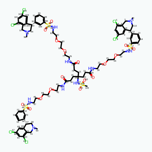 CN1Cc2c(Cl)cc(Cl)cc2[C@H](c2cccc(S(=O)(=O)NCCOCCOCCNC(=O)CCC(CCC(=O)NCCOCCOCCNS(=O)(=O)c3cccc([C@@H]4CN(C)Cc5c(Cl)cc(Cl)cc54)c3)(CCC(=O)NCCOCCOCCNS(=O)(=O)c3cccc([C@@H]4CN(C)Cc5c(Cl)cc(Cl)cc54)c3)NS(C)(=O)=O)c2)C1